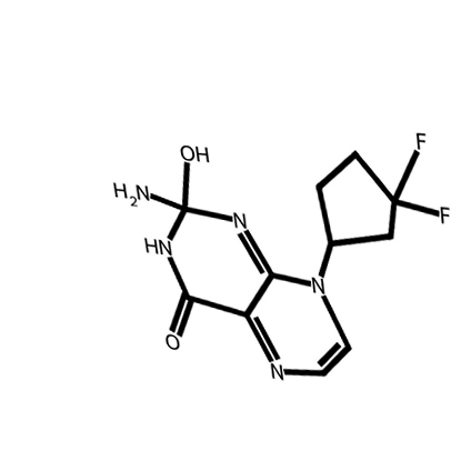 NC1(O)N=C2C(=NC=CN2C2CCC(F)(F)C2)C(=O)N1